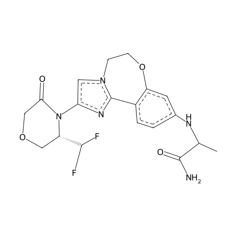 CC(Nc1ccc2c(c1)OCCn1cc(N3C(=O)COC[C@H]3C(F)F)nc1-2)C(N)=O